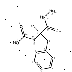 C[C@](Cc1ccccc1)(NC(=O)O)C(=O)NN